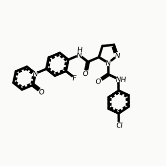 O=C(Nc1ccc(-n2ccccc2=O)cc1F)C1CC=NN1C(=O)Nc1ccc(Cl)cc1